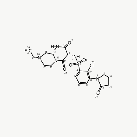 NC(=O)[C@H](NS(=O)(=O)c1cccc(N2CCCC2=O)c1Cl)C(=O)N1CCN(CC(F)(F)F)CC1